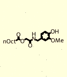 CCCCCCCCC(=O)OCC(=O)NCc1ccc(O)c(OC)c1